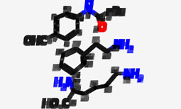 CCCCC(=O)Nc1ccc(C=O)cc1.NCCCCC(N)C(=O)O.NCCc1ccccc1